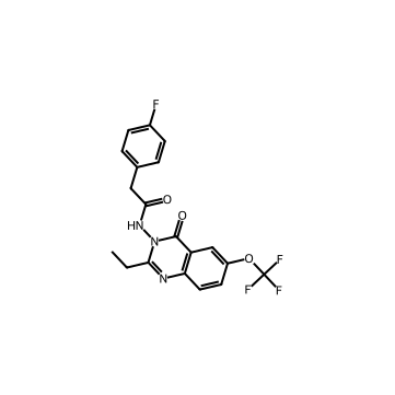 CCc1nc2ccc(OC(F)(F)F)cc2c(=O)n1NC(=O)Cc1ccc(F)cc1